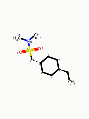 CC[C@H]1CC[C@H](CS(=O)(=O)N(C)C)CC1